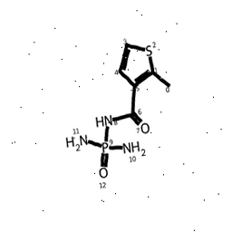 Cc1sccc1C(=O)NP(N)(N)=O